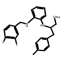 COCC(Cc1ccc(C)cc1)Nc1ccccc1NCc1ccc(F)c(F)c1